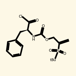 C=C(COC(=O)N[C@@H](Cc1ccccc1)C(=O)Cl)S(=O)(=O)C(C)(C)C